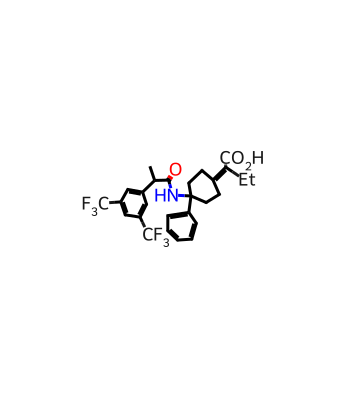 CCC(C(=O)O)=C1CCC(NC(=O)C(C)c2cc(C(F)(F)F)cc(C(F)(F)F)c2)(c2ccccc2)CC1